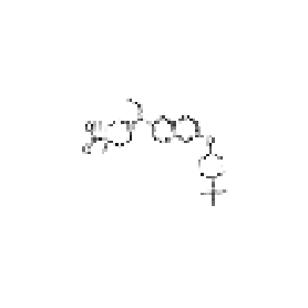 CCC(c1ccc2cc(OC3CCC(C(C)(C)C)CC3)ccc2c1)N1CCC(C)(C(=O)O)CC1